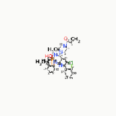 C=CC(=O)N1CCN(C2=N[PH](C)(O)N(c3ccccc3C(C)C)c3nc(-c4ccccc4F)c(Cl)cc32)[C@@H](C)C1